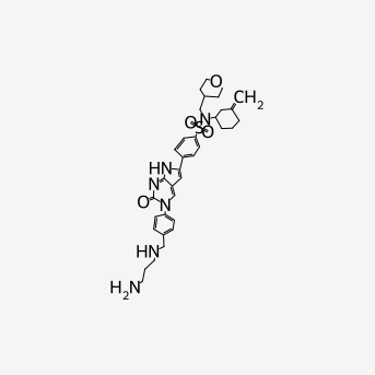 C=C1CCCC(N(CC2CCOCC2)S(=O)(=O)c2ccc(-c3cc4cn(-c5ccc(CNCCCN)cc5)c(=O)nc4[nH]3)cc2)C1